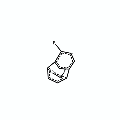 Fc1[c]cc2[c]c1-c1ccc-2c(F)c1